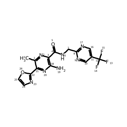 Cc1nc(C(=O)NCc2ncc(C(F)(F)F)cn2)c(N)nc1-c1ncco1